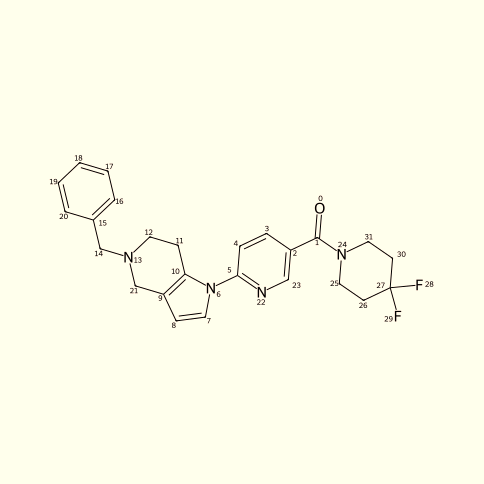 O=C(c1ccc(-n2ccc3c2CCN(Cc2ccccc2)C3)nc1)N1CCC(F)(F)CC1